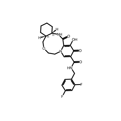 O=C(NCc1ccc(F)cc1F)c1cn2c(c(O)c1=O)C(=O)N[C@H]1CCCC[C@H]1COCC2